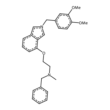 COc1ccc(Cn2cc3cccc(OCCN(C)Cc4ccccc4)c3c2)cc1OC